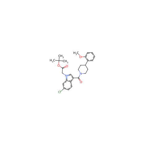 COc1ccccc1C1CCN(C(=O)c2cn(CC(=O)OC(C)(C)C)c3cc(Cl)ccc23)CC1